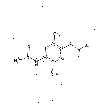 CC(=O)Nc1cc(C)c(CCCl)cc1C